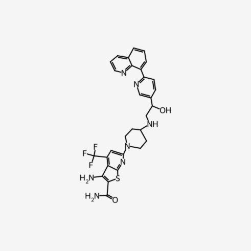 NC(=O)c1sc2nc(N3CCC(NCC(O)c4ccc(-c5cccc6cccnc56)nc4)CC3)cc(C(F)(F)F)c2c1N